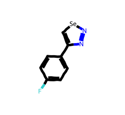 Fc1ccc(-c2c[se]nn2)cc1